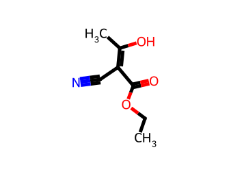 CCOC(=O)/C(C#N)=C(/C)O